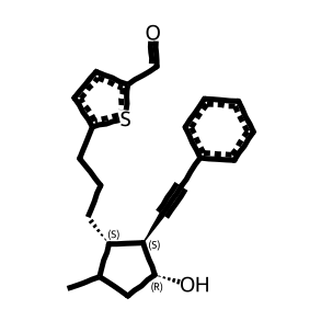 CC1C[C@@H](O)[C@H](C#Cc2ccccc2)[C@H]1CCCc1ccc(C=O)s1